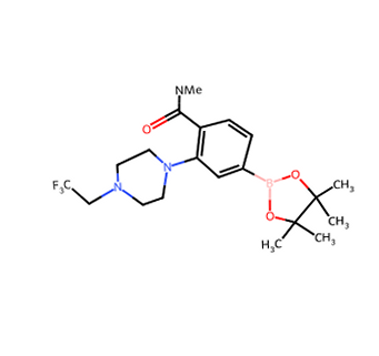 CNC(=O)c1ccc(B2OC(C)(C)C(C)(C)O2)cc1N1CCN(CC(F)(F)F)CC1